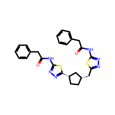 O=C(Cc1ccccc1)Nc1nnc(C[C@@H]2CC[C@H](c3nnc(NC(=O)Cc4ccccc4)s3)C2)s1